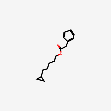 O=C(Cc1ccccc1)OCCCCCC1CC1